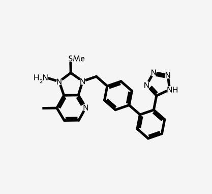 CSC1N(N)c2c(C)ccnc2N1Cc1ccc(-c2ccccc2-c2nnn[nH]2)cc1